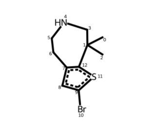 CC1(C)CNCCc2cc(Br)sc21